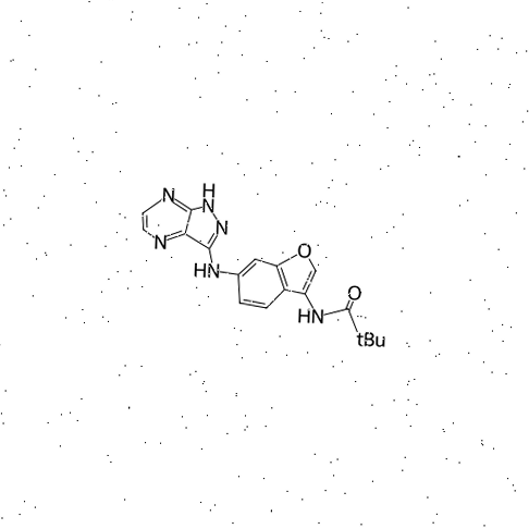 CC(C)(C)C(=O)Nc1coc2cc(Nc3n[nH]c4nccnc34)ccc12